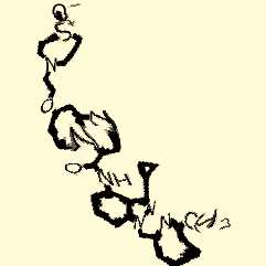 Cc1cccc(Cn2nc(C3CC3)c3c(NC(=O)c4cnc5cc(OCCN6CC[S+]([O-])CC6)ccn45)cccc32)n1